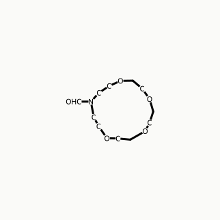 O=CN1CCOCCOCCOCCOCC1